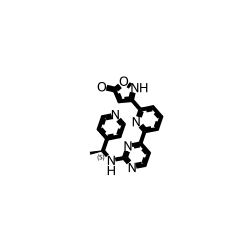 C[C@H](Nc1nccc(-c2cccc(-c3cc(=O)o[nH]3)n2)n1)c1ccncc1